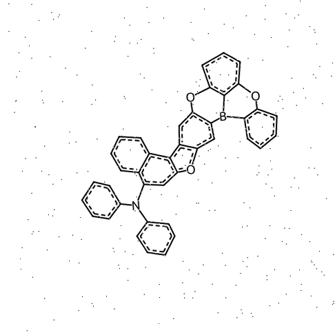 c1ccc(N(c2ccccc2)c2cc3oc4cc5c(cc4c3c3ccccc23)Oc2cccc3c2B5c2ccccc2O3)cc1